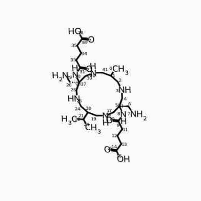 CC1CNC[C@](CN)(NC(=O)CCCC(=O)O)CNCC(C(C)C)CNC[C@@](CN)(NC(=O)CCCC(=O)O)CNC1